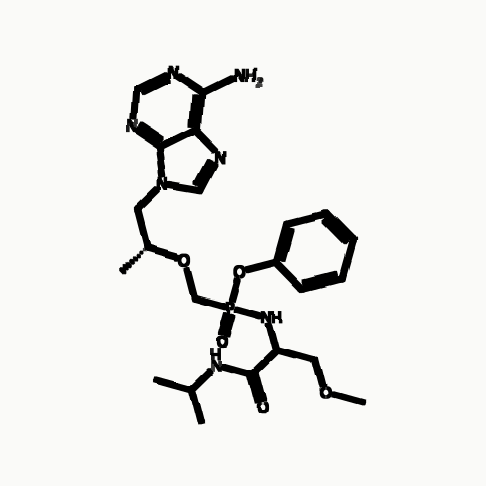 COCC(NP(=O)(CO[C@H](C)Cn1cnc2c(N)ncnc21)Oc1ccccc1)C(=O)NC(C)C